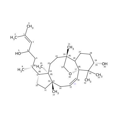 CC(C)=CC(O)C[C@@H](C)[C@H]1CC[C@@]2(C)C/C=C\[C@@]34OC[C@](C)(CC[C@]12C)C3CC[C@H](O)C4(C)C